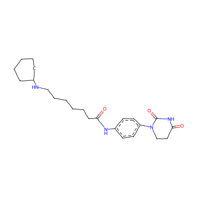 O=C1CCN(c2ccc(NC(=O)CCCCCCNC3CCCCC3)cc2)C(=O)N1